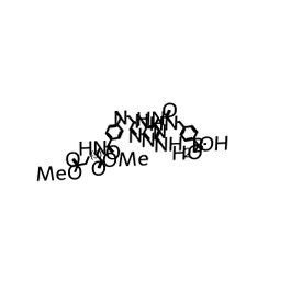 COC(=O)CC[C@H](NC(=O)c1ccc(N(C)Cc2cnc3nc(N)nc(NC(=O)NCc4ccc(B(O)O)cc4)c3n2)cc1)C(=O)OC